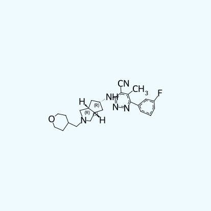 Cc1c(-c2cccc(F)c2)nnc(N[C@@H]2C[C@@H]3CN(CC4CCOCC4)C[C@@H]3C2)c1C#N